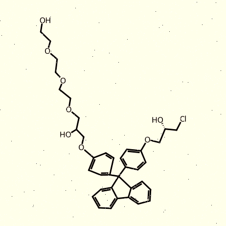 OCCOCCOCCOCC(O)COc1ccc(C2(c3ccc(OC[C@H](O)CCl)cc3)c3ccccc3-c3ccccc32)cc1